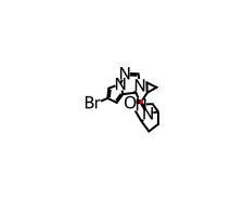 O=C(C1CC1)N1C2CCC1CN(c1ncnn3cc(Br)cc13)C2